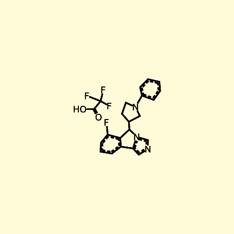 Fc1cccc2c1C(C1CCN(c3ccccc3)C1)n1cncc1-2.O=C(O)C(F)(F)F